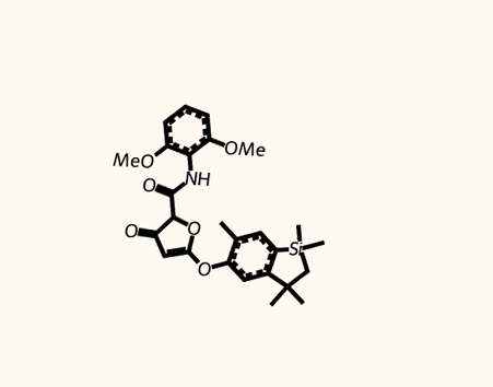 COc1cccc(OC)c1NC(=O)C1OC(Oc2cc3c(cc2C)[Si](C)(C)CC3(C)C)=CC1=O